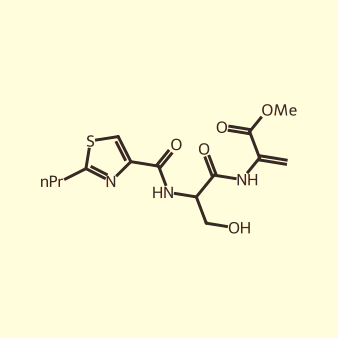 C=C(NC(=O)C(CO)NC(=O)c1csc(CCC)n1)C(=O)OC